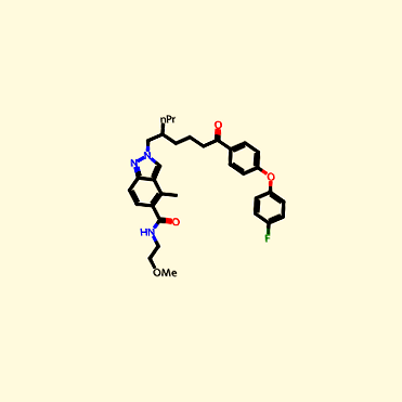 CCCC(CCCC(=O)c1ccc(Oc2ccc(F)cc2)cc1)Cn1cc2c(C)c(C(=O)NCCOC)ccc2n1